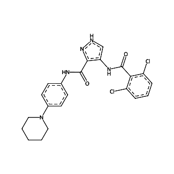 O=C(Nc1ccc(N2CCCCC2)cc1)c1n[nH]cc1NC(=O)c1c(Cl)cccc1Cl